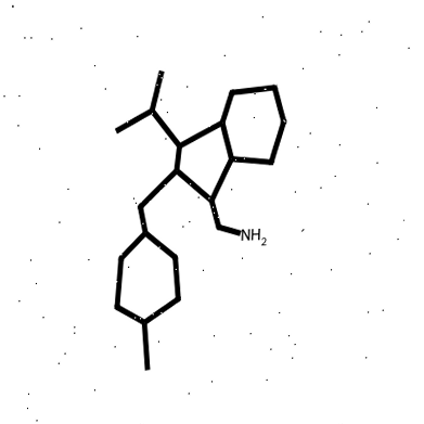 CC1CCC(CC2C(CN)C3CCCCC3C2C(C)C)CC1